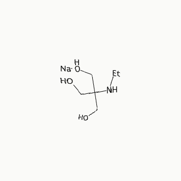 CCNC(CO)(CO)CO.[Na]